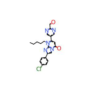 CCCCCn1c(-c2cnc(C=O)nc2)cc(=O)n2cc(-c3ccc(Cl)cc3)nc12